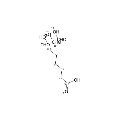 CCCCCC(=O)O.O=CO.O=CO.O=CO